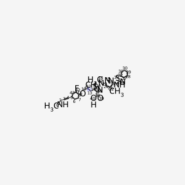 CNCC#Cc1ccc(OC/C(C)=C/c2sc(N(C)c3cc(C)c(Nc4nc5ccccc5s4)nn3)nc2C(=O)O)c(F)c1